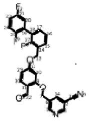 N#Cc1cncc(COc2cc(OCc3cccc(-c4cc(F)ccc4F)c3F)ccc2C=O)c1